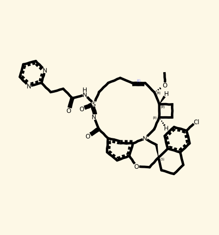 CO[C@H]1/C=C/CCCS(=O)(NC(=O)CCc2ncccn2)=NC(=O)c2ccc3c(c2)N(C[C@@H]2CC[C@H]21)C[C@@]1(CCCc2cc(Cl)ccc21)CO3